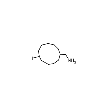 NCC1CCCCCC(I)CCCC1